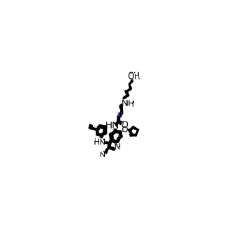 C#Cc1cccc(Nc2c(C#N)cnc3cc(OC4CCCC4)c(NC(=O)/C=C/CNCCCCCCO)cc23)c1